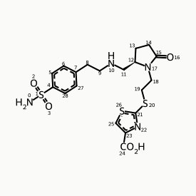 NS(=O)(=O)c1ccc(CCNC[C@H]2CCC(=O)N2CCSc2nc(C(=O)O)cs2)cc1